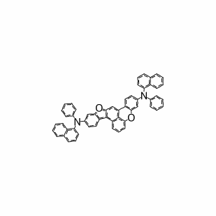 c1ccc(N(c2ccc3c(c2)Oc2cccc4c2c-3cc2oc3cc(N(c5ccccc5)c5cccc6ccccc56)ccc3c24)c2cccc3ccccc23)cc1